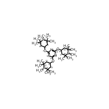 CN1C(C)(C)CC(Oc2nc(OC3CC(C)(C)N(C)C(C)(C)C3)nc(OC3CC(C)(C)N(C)C(C)(C)C3)n2)CC1(C)C